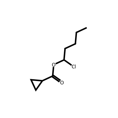 CCCCC(Cl)OC(=O)C1CC1